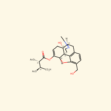 CC(=O)O[C@H](C(=O)O)[C@H](OC(C)=O)C(=O)OC1=CC[C@@]2(O)[C@H]3Cc4ccc(CO)c5c4[C@@]2(CCN3C)[C@H]1O5